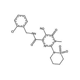 Cn1c(N2CCCCS2(=O)=O)nc(C(=O)NCc2ccccc2Cl)c(O)c1=O